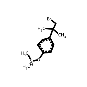 C[SiH](C)Oc1ccc(C(C)(C)CBr)cc1